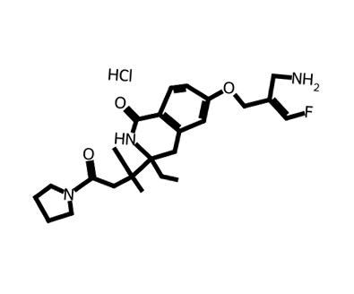 CCC1(C(C)(C)CC(=O)N2CCCC2)Cc2cc(OC/C(=C/F)CN)ccc2C(=O)N1.Cl